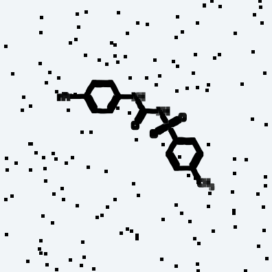 CCCc1ccc(NC(=O)NS(=O)(=O)c2ccc(C)cc2)cc1